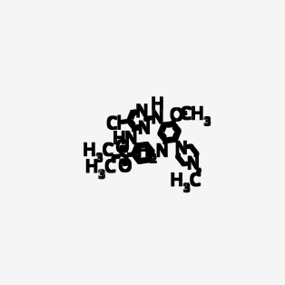 CCN1CCN(c2cc(OC)c(Nc3ncc(Cl)c(Nc4ccccc4S(=O)(=O)C(C)C)n3)cc2N)CC1